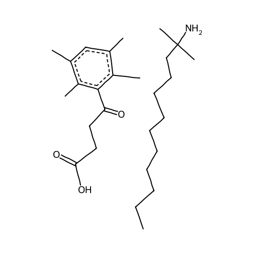 CCCCCCCCCCC(C)(C)N.Cc1cc(C)c(C)c(C(=O)CCC(=O)O)c1C